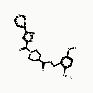 COc1ccc(OC)c(CNC(=O)C2CCN(C(=O)c3cc(-c4ccncc4)[nH]n3)CC2)c1